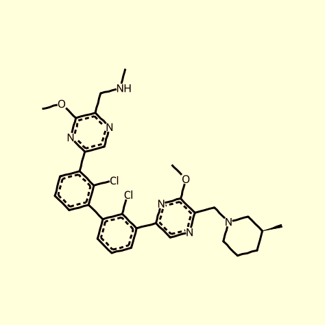 CNCc1ncc(-c2cccc(-c3cccc(-c4cnc(CN5CCC[C@H](C)C5)c(OC)n4)c3Cl)c2Cl)nc1OC